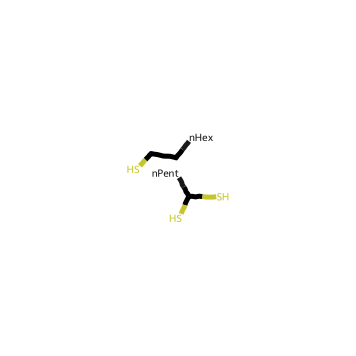 CCCCCC(S)S.CCCCCCCCS